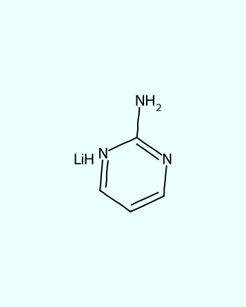 Nc1ncccn1.[LiH]